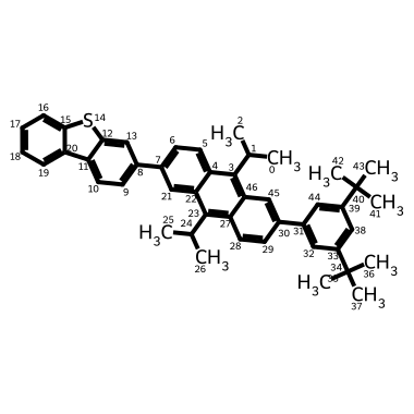 CC(C)c1c2ccc(-c3ccc4c(c3)sc3ccccc34)cc2c(C(C)C)c2ccc(-c3cc(C(C)(C)C)cc(C(C)(C)C)c3)cc12